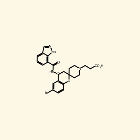 O=C(O)CCN1CCC2(CC1)C[C@H](NC(=O)c1cccc3cn[nH]c13)c1cc(Br)ccc1O2